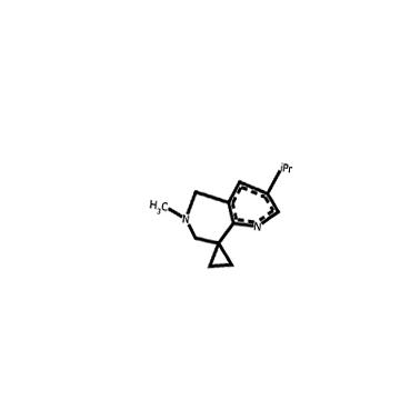 CC(C)c1cnc2c(c1)CN(C)CC21CC1